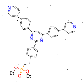 CCOP(=O)(CCc1ccc(-c2nc(-c3ccc(-c4ccncc4)cc3)cc(-c3ccc(-c4ccncc4)cc3)n2)cc1)OCC